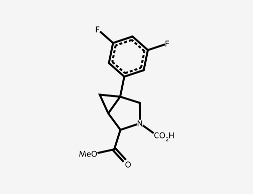 COC(=O)C1C2CC2(c2cc(F)cc(F)c2)CN1C(=O)O